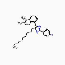 CCCCCCCCCCc1[nH]c(-c2ccc(I)cc2)nc1-c1cccc2c(C)c(C)ccc12